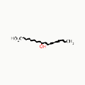 CC=CC#CC#CC=CC(O)CCCCCCCC(=O)O